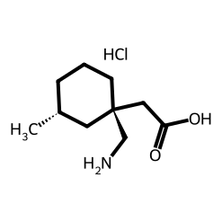 C[C@@H]1CCC[C@](CN)(CC(=O)O)C1.Cl